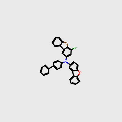 Brc1cc(N(c2ccc(-c3ccccc3)cc2)c2ccc3oc4ccccc4c3c2)cc2c1sc1ccccc12